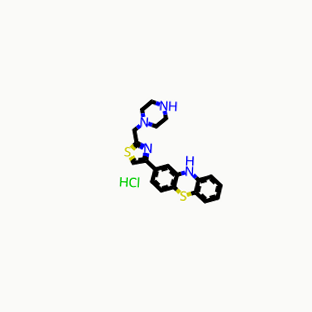 Cl.c1ccc2c(c1)Nc1cc(-c3csc(CN4CCNCC4)n3)ccc1S2